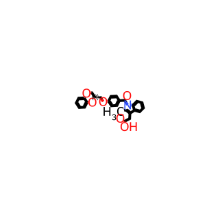 Cc1c(CC(=O)O)c2ccccc2n1C(=O)c1ccc(OC[C@@H]2COc3ccccc3O2)cc1